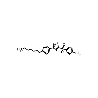 CCCCCCCc1ccc(-c2nsc(S(=O)(=O)c3ccc(C)cc3)n2)cc1